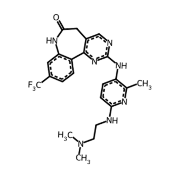 Cc1nc(NCCN(C)C)ccc1Nc1ncc2c(n1)-c1ccc(C(F)(F)F)cc1NC(=O)C2